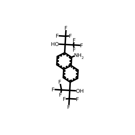 Nc1c(C(O)(C(F)(F)F)C(F)(F)F)ccc2cc(C(O)(C(F)(F)F)C(F)(F)F)ccc12